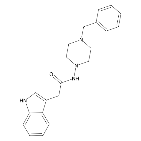 O=C(Cc1c[nH]c2ccccc12)NN1CCN(Cc2ccccc2)CC1